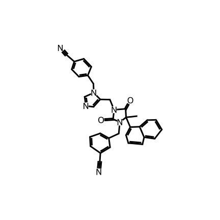 CC1(c2cccc3ccccc23)C(=O)N(Cc2cncn2Cc2ccc(C#N)cc2)C(=O)N1Cc1cccc(C#N)c1